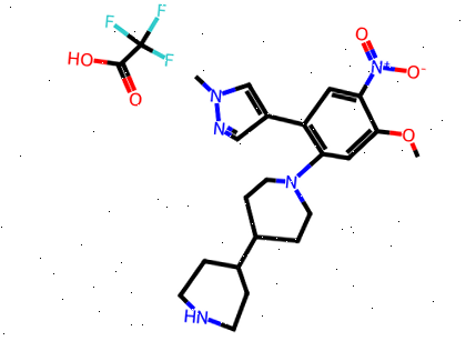 COc1cc(N2CCC(C3CCNCC3)CC2)c(-c2cnn(C)c2)cc1[N+](=O)[O-].O=C(O)C(F)(F)F